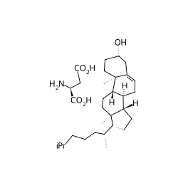 CC(C)CCC[C@@H](C)[C@H]1CC[C@H]2[C@@H]3CC=C4C[C@@H](O)CC[C@]4(C)[C@H]3CC[C@]12C.N[C@@H](CC(=O)O)C(=O)O